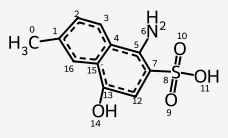 Cc1ccc2c(N)c(S(=O)(=O)O)cc(O)c2c1